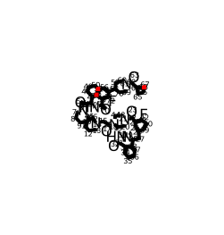 O=C(N[C@@H](C(=O)N1CCCC2(CCCN(CC(=O)N3CCN(C(=O)c4cc(Cc5n[nH]c(=O)c6ccccc56)ccc4F)CC3)C2)C1)C1CCCCC1)c1cccc(C2CCN(C(=O)C34CC(C3)C4)CC2)c1F